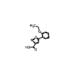 CCOc1ccccc1-c1cc(C(=O)O)no1